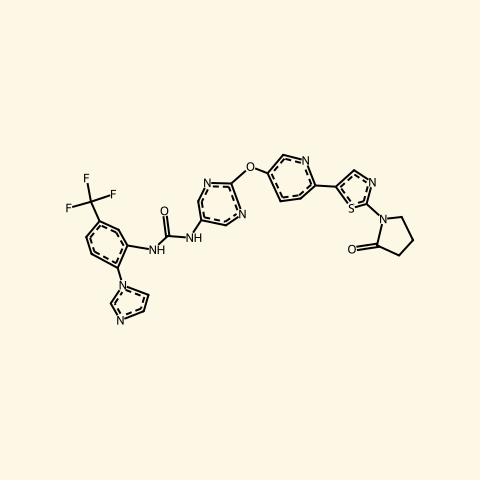 O=C(Nc1cnc(Oc2ccc(-c3cnc(N4CCCC4=O)s3)nc2)nc1)Nc1cc(C(F)(F)F)ccc1-n1ccnc1